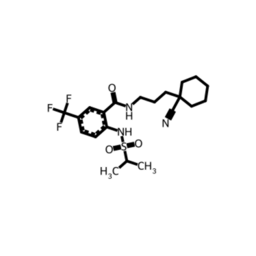 CC(C)S(=O)(=O)Nc1ccc(C(F)(F)F)cc1C(=O)NCCCC1(C#N)CCCCC1